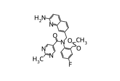 Cc1ncc(C(=O)N(Cc2ccc3ccc(N)nc3c2)c2ccc(F)cc2S(C)(=O)=O)cn1